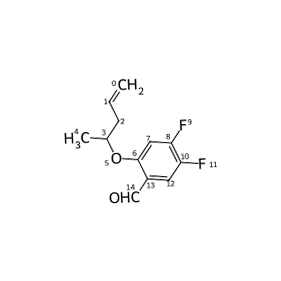 C=CCC(C)Oc1cc(F)c(F)cc1C=O